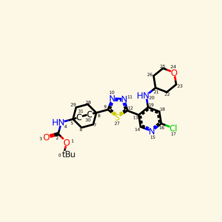 CC(C)(C)OC(=O)NC12CCC(c3nnc(-c4cnc(Cl)cc4NC4CCOCC4)s3)(CC1)CC2